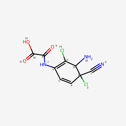 N#CC1(Cl)C=CC(NC(=O)C(=O)O)=C(Cl)C1N